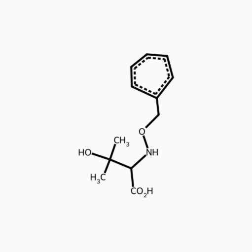 CC(C)(O)C(NOCc1ccccc1)C(=O)O